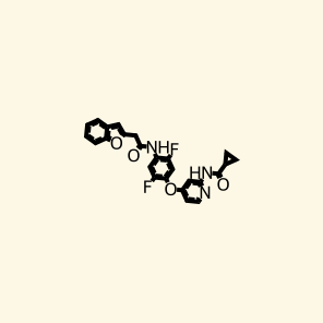 O=C(Cc1cc2ccccc2o1)Nc1cc(F)c(Oc2ccnc(NC(=O)C3CC3)c2)cc1F